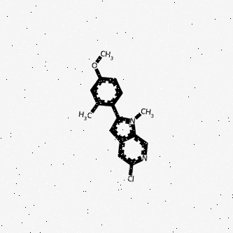 COc1ccc(-c2cc3cc(Cl)ncc3n2C)c(C)c1